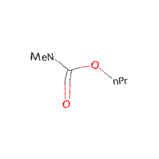 [CH2]NC(=O)OCCC